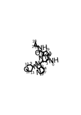 CNc1cc(-c2nn(C3CCOCC3)c3ncccc23)nc2c(C(=O)NC3CC3)cnn12